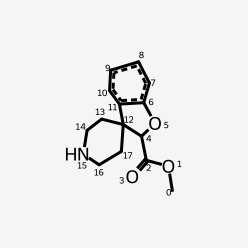 COC(=O)C1Oc2ccccc2C12CCNCC2